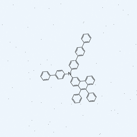 c1ccc(-c2ccc(-c3ccc(N(c4ccc(-c5ccccc5)cc4)c4ccc5c(-c6ccccc6)c(-c6ccccc6)c6ccccc6c5c4)cc3)cc2)cc1